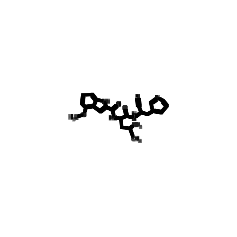 COc1cccc2[nH]c(C(=O)NC(CC(C)C)C(=O)NC(C#N)Cc3cccnc3)cc12